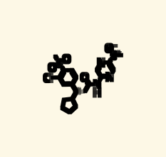 C[S+]([O-])c1cnc(NC(=O)C[C@@H](c2ccc(S(C)(=O)=O)c(Cl)c2)C2CCCC2)cn1